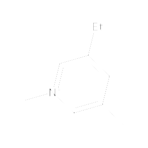 CCc1cc(C)c[n+](C)c1